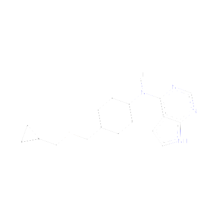 CN(c1ncnc2[nH]ccc12)C1CCC(CSCC2CC2)CC1